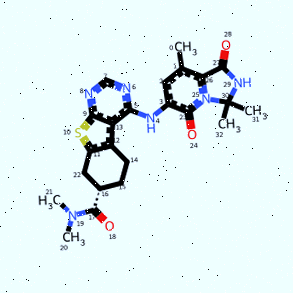 Cc1cc(Nc2ncnc3sc4c(c23)CC[C@H](C(=O)N(C)C)C4)c(=O)n2c1C(=O)NC2(C)C